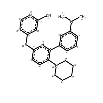 CN(C)c1cccc(-c2nc(Sc3cc(C#N)ncn3)ccc2N2CCCCC2)c1